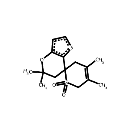 CC1=C(C)CS(=O)(=O)C2(C1)CC(C)(C)Oc1ccsc12